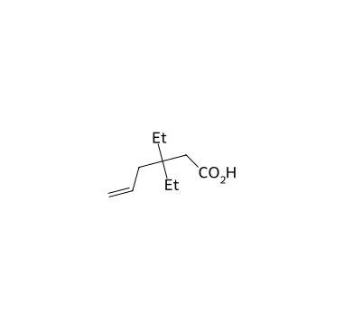 C=CCC(CC)(CC)CC(=O)O